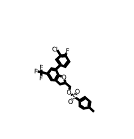 Cc1ccc(S(=O)(=O)OCC2Cc3cc(C(F)(F)F)cc(-c4ccc(F)c(Cl)c4)c3O2)cc1